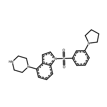 O=S(=O)(c1cccc(N2CCCC2)c1)n1ccc2c(N3CCNCC3)cccc21